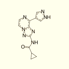 O=C(Nc1nc2c(-c3cn[nH]c3)nccn2n1)C1CC1